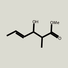 CC=CC(O)C(C)C(=O)OC